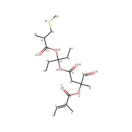 C/C=C(\C)C(=O)OC(C)(C=O)CC(=O)OC(CC)(CC)OC(=O)C(C)CSC